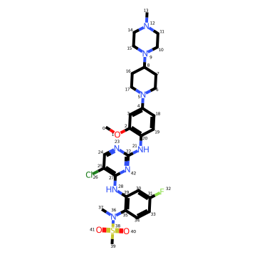 COc1cc(N2CCC(N3CCN(C)CC3)CC2)ccc1Nc1ncc(Cl)c(Nc2cc(F)ccc2N(C)S(C)(=O)=O)n1